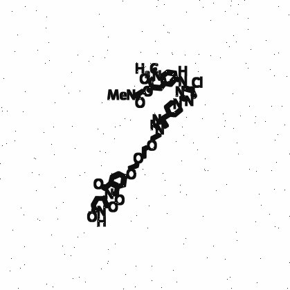 CNC(=O)COc1cc2cc(Nc3nc(N4CCC(c5cn(CCOCCOCCOc6ccc7c(c6)C(=O)N(C6CCC(=O)NC6=O)C7=O)nn5)CC4)ncc3Cl)ccc2n(C)c1=O